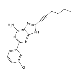 CCCCC#Cc1nc2c(N)nc(-c3cccc(Cl)n3)nc2[nH]1